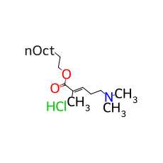 CCCCCCCCCCOC(=O)C(C)=CCCN(C)C.Cl